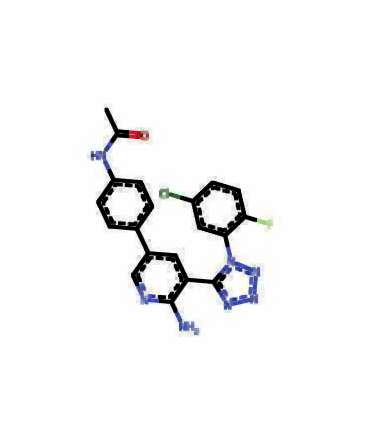 CC(=O)Nc1ccc(-c2cnc(N)c(-c3nnnn3-c3cc(Cl)ccc3F)c2)cc1